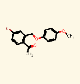 COc1ccc(OCc2cc(Br)ccc2C(C)=O)cc1